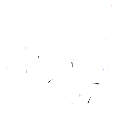 C=C(C)[C@@H]1CC[C@]2(NCCN3CCS(O)(O)CC3)CC[C@]3(C)[C@H](CC[C@@H]4[C@@]5(C)CC[C@H](O)C(C)(C)[C@@H]5CC[C@]43C)[C@@H]12